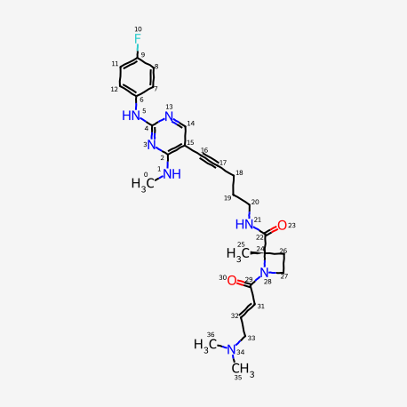 CNc1nc(Nc2ccc(F)cc2)ncc1C#CCCCNC(=O)[C@]1(C)CCN1C(=O)/C=C/CN(C)C